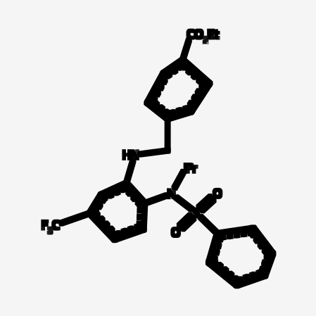 CCOC(=O)c1ccc(CNc2cc(C(F)(F)F)ccc2N(C(C)C)S(=O)(=O)c2ccccc2)cc1